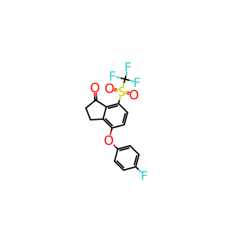 O=C1CCc2c(Oc3ccc(F)cc3)ccc(S(=O)(=O)C(F)(F)F)c21